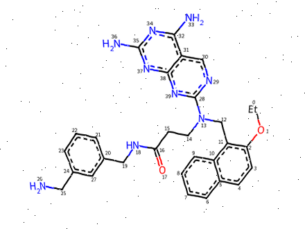 CCOc1ccc2ccccc2c1CN(CCC(=O)NCc1cccc(CN)c1)c1ncc2c(N)nc(N)nc2n1